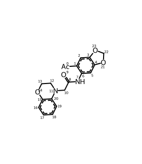 CC(=O)c1cc2c(cc1NC(=O)CN1CCOc3ccccc31)OCO2